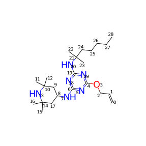 C=CCOc1nc(NC2CC(C)(C)NC(C)(C)C2)nc(NC(C)(C)CCCCC)n1